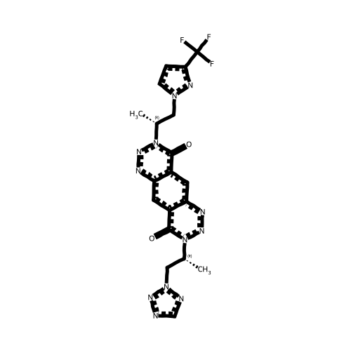 C[C@H](Cn1ccc(C(F)(F)F)n1)n1nnc2cc3c(=O)n([C@H](C)Cn4ncnn4)nnc3cc2c1=O